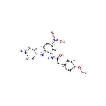 CCOc1ccc(CC(=O)Nc2cc([N+](=O)[O-])ccc2NC2CCN(C)CC2)cc1